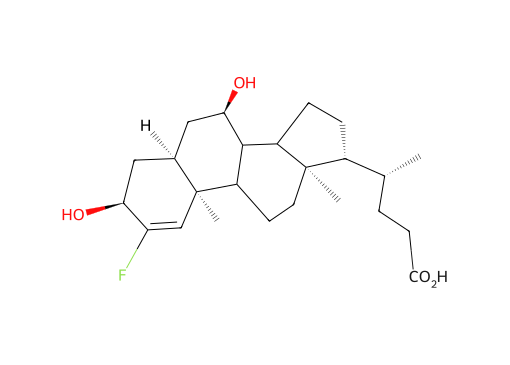 C[C@H](CCC(=O)O)[C@H]1CCC2C3C(CC[C@@]21C)[C@@]1(C)C=C(F)[C@@H](O)C[C@H]1C[C@H]3O